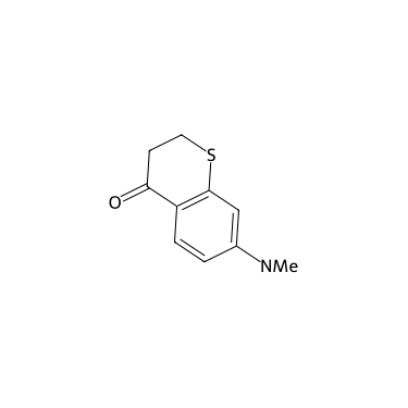 CNc1ccc2c(c1)SCCC2=O